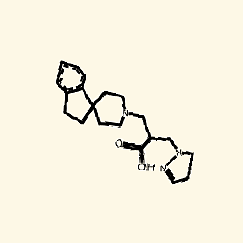 O=C(O)C(CN1CCC2(CCc3ccccc32)CC1)CN1CCC=N1